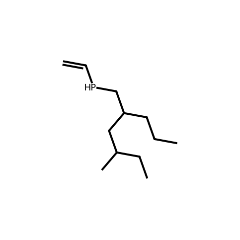 C=CPCC(CCC)CC(C)CC